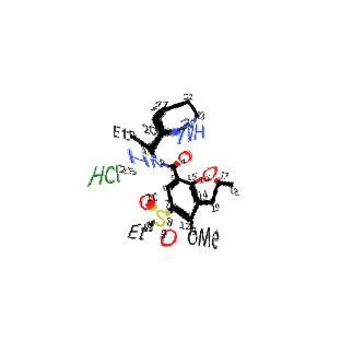 CCC(NC(=O)c1cc(S(=O)(=O)CC)c(OC)c2c1OC(C)C2)C1CCCN1.Cl